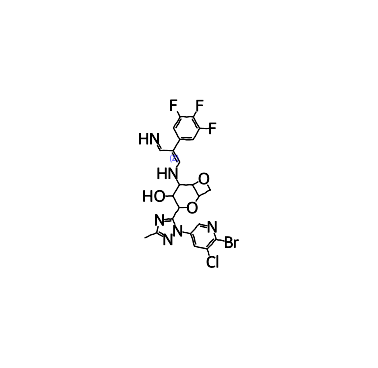 Cc1nc(C2OC3COC3C(N/C=C(\C=N)c3cc(F)c(F)c(F)c3)C2O)n(-c2cnc(Br)c(Cl)c2)n1